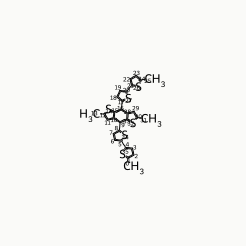 Cc1ccc(-c2ccc(-c3c4cc(C)sc4c(-c4ccc(-c5ccc(C)s5)s4)c4cc(C)sc34)s2)s1